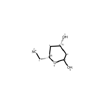 N#CC[C@@H]1C[C@H](O)CC(O)O1